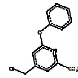 O=C(O)c1cc(CCl)cc(Oc2ccccc2)n1